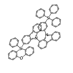 c1ccc([Si](c2ccccc2)(c2ccccc2)c2cccc(-n3c4ccccc4c4cccc(-n5c6ccccc6c6ccc([Si]7(c8ccccc8)c8ccccc8Oc8ccccc87)cc65)c43)c2)cc1